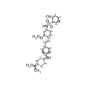 COc1cc(NS(=O)(=O)c2cnccc2Cl)ccc1/C=C/c1cnc(NC2CCC(N(C)C)CC2)nc1